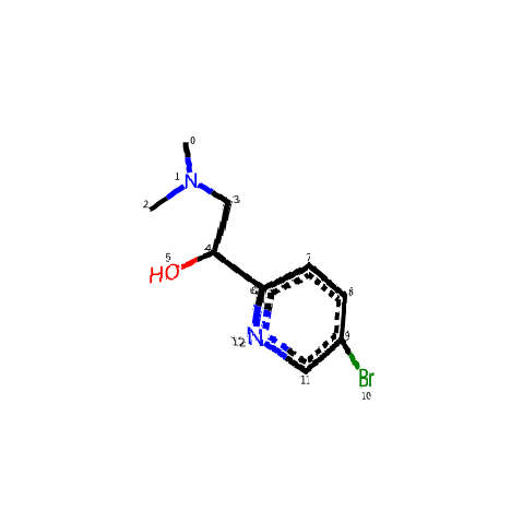 CN(C)CC(O)c1ccc(Br)cn1